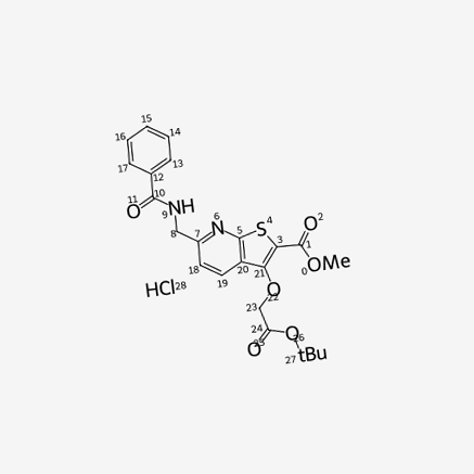 COC(=O)c1sc2nc(CNC(=O)c3ccccc3)ccc2c1OCC(=O)OC(C)(C)C.Cl